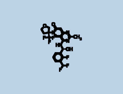 Cc1nc(N[C@H](O)c2cccc(C(F)F)c2F)c2cn([C@]3(C(F)(F)F)CCOC3)c(=O)cc2n1